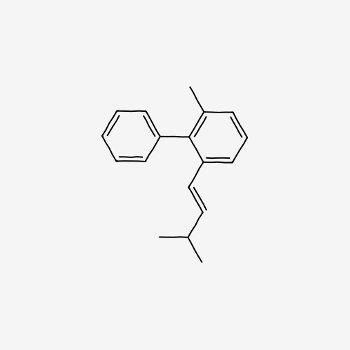 Cc1cccc(/C=C/C(C)C)c1-c1ccccc1